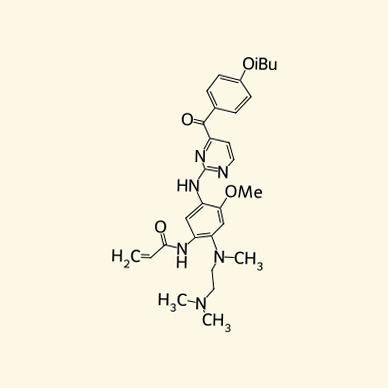 C=CC(=O)Nc1cc(Nc2nccc(C(=O)c3ccc(OCC(C)C)cc3)n2)c(OC)cc1N(C)CCN(C)C